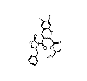 CCCC(F)OC(=O)CC(Cc1cc(F)c(F)cc1F)C(=O)N1C(=O)OCC1Cc1ccccc1